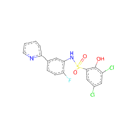 O=S(=O)(Nc1cc(-c2ccccn2)ccc1F)c1cc(Cl)cc(Cl)c1O